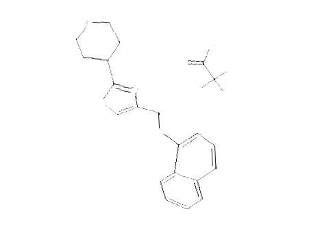 O=C(O)C(F)(F)F.c1ccc2c(SCc3csc(C4CCNCC4)n3)cccc2c1